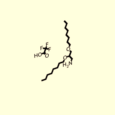 CCCCCCCCOCC(CN)OCCCCCCCC.O=C(O)C(F)(F)F